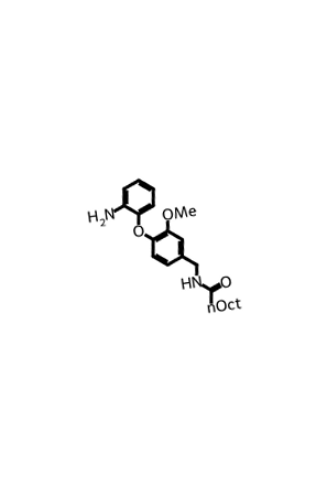 CCCCCCCCC(=O)NCc1ccc(Oc2ccccc2N)c(OC)c1